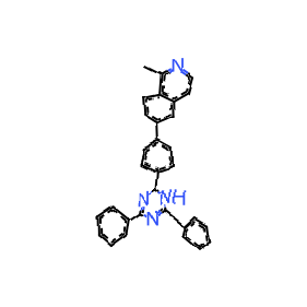 Cc1nccc2cc(-c3ccc(C4N=C(c5ccccc5)N=C(c5ccccc5)N4)cc3)ccc12